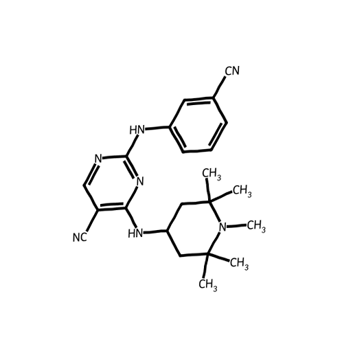 CN1C(C)(C)CC(Nc2nc(Nc3cccc(C#N)c3)ncc2C#N)CC1(C)C